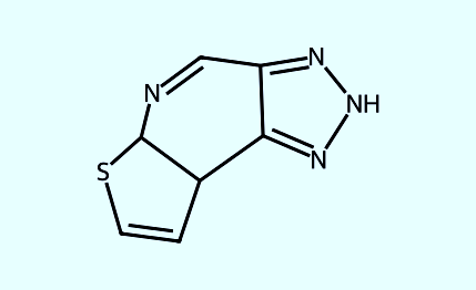 C1=CC2c3n[nH]nc3C=NC2S1